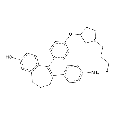 Nc1ccc(C2=C(c3ccc(OC4CCN(CCCF)C4)cc3)c3ccc(O)cc3CCC2)cc1